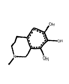 CN1CCc2cc(O)c(O)c(O)c2C1